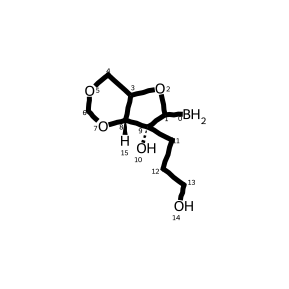 BC1OC2COCO[C@H]2[C@]1(O)CCCO